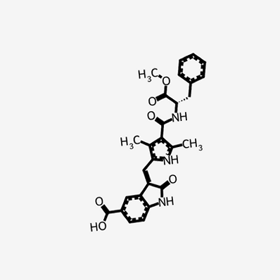 COC(=O)[C@H](Cc1ccccc1)NC(=O)c1c(C)[nH]c(/C=C2\C(=O)Nc3ccc(C(=O)O)cc32)c1C